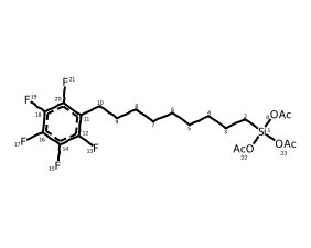 CC(=O)O[Si](CCCCCCCCCc1c(F)c(F)c(F)c(F)c1F)(OC(C)=O)OC(C)=O